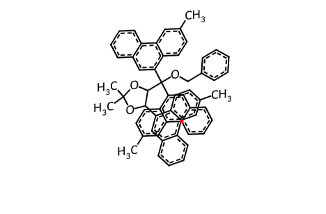 Cc1ccc2c(C3OC(C)(C)OC3C(OCc3ccccc3)(c3cc4ccccc4c4cc(C)ccc34)c3cc4ccccc4c4cc(C)ccc34)cc3ccccc3c2c1